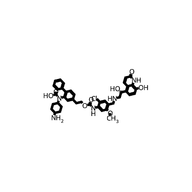 COc1cc(NC(=O)OCCc2ccc(-c3ccccc3)c(N(C(=O)O)C3CCC(N)CC3)c2)c(Cl)cc1CNC[C@H](O)c1ccc(O)c2[nH]c(=O)ccc12